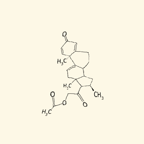 CC(=O)OCC(=O)C1[C@H](C)CC2C3CCC4=CC(=O)C=C[C@]4(C)C3=CCC21C